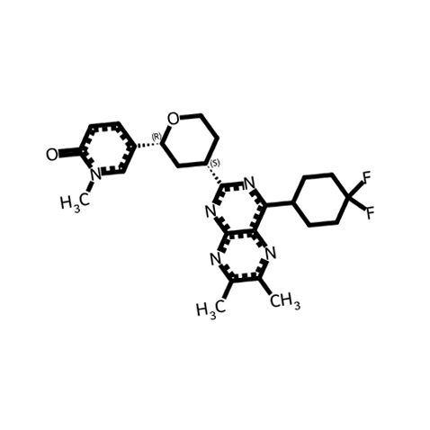 Cc1nc2nc([C@H]3CCO[C@@H](c4ccc(=O)n(C)c4)C3)nc(C3CCC(F)(F)CC3)c2nc1C